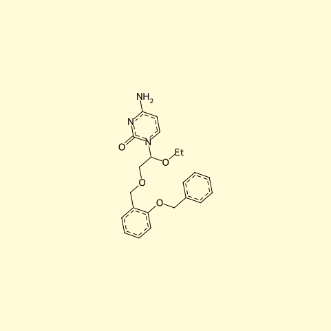 CCOC(COCc1ccccc1OCc1ccccc1)n1ccc(N)nc1=O